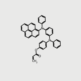 C=CC(=O)Oc1ccc(N(c2ccccc2)c2cccc(N(c3ccccc3)c3ccc4ccc5cccc6ccc3c4c56)c2)cc1